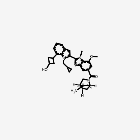 COc1cc(C(=O)N2C[C@H]3CC[C@@H]2C[C@@H]3N)cc2nc(-c3cc4cccc(C5CC(O)C5)c4n3CC3CC3)n(C)c12